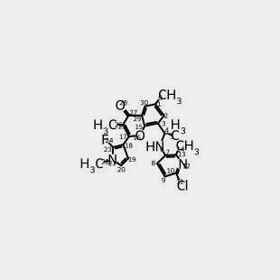 Cc1cc([C@@H](C)Nc2ccc(Cl)nc2C)c2oc(-c3ccn(C)c3F)c(C)c(=O)c2c1